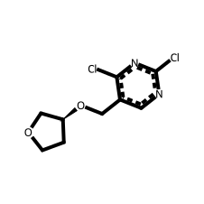 Clc1ncc(CO[C@H]2CCOC2)c(Cl)n1